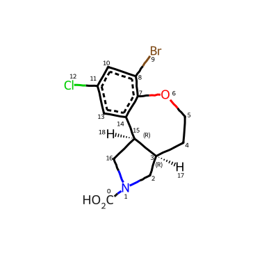 O=C(O)N1C[C@@H]2CCOc3c(Br)cc(Cl)cc3[C@@H]2C1